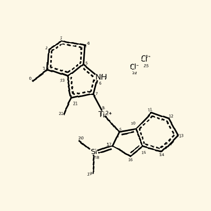 Cc1cccc2[nH][c]([Ti+2][C]3=c4ccccc4=CC3=[Si](C)C)c(C)c12.[Cl-].[Cl-]